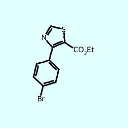 CCOC(=O)c1scnc1-c1ccc(Br)cc1